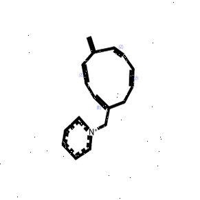 C=C1/C=C\C=C/C/C(C[n+]2ccccc2)=C\C=C/1